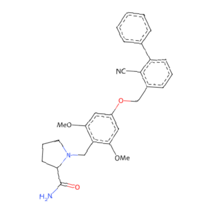 COc1cc(OCc2cccc(-c3ccccc3)c2C#N)cc(OC)c1CN1CCCC1C(N)=O